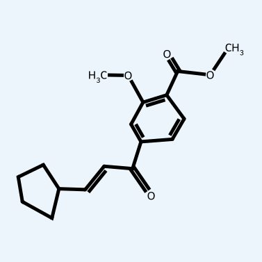 COC(=O)c1ccc(C(=O)/C=C/C2CCCC2)cc1OC